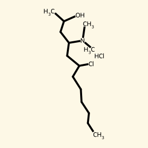 CCCCCCC(Cl)CC(CC(C)O)N(C)C.Cl